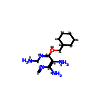 C=N/C(N)=C(N)\C(=N/CN)OCC1CCCCC1